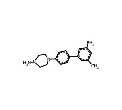 Bc1cc(C)cc(-c2ccc(N3CCN(N)CC3)cc2)c1